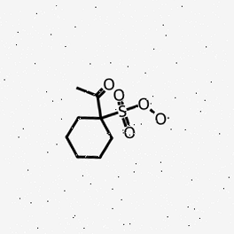 CC(=O)C1(S(=O)(=O)O[O])CCCCC1